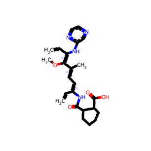 C=C\C(=C/C=C(C)/C(OC)=C(/C=C)Nc1cnccn1)NC(=O)C1CCCCC1C(=O)O